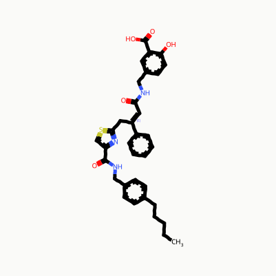 CCCCCc1ccc(CNC(=O)c2csc(C/C(=C\C(=O)NCc3ccc(O)c(C(=O)O)c3)c3ccccc3)n2)cc1